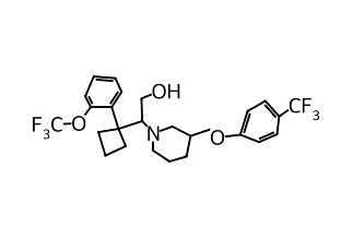 OCC(N1CCCC(COc2ccc(C(F)(F)F)cc2)C1)C1(c2ccccc2OC(F)(F)F)CCC1